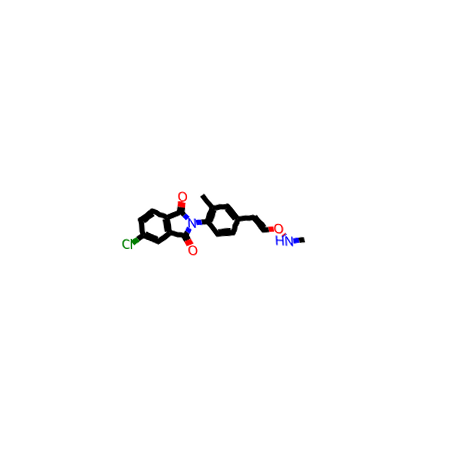 CNOC=Cc1ccc(N2C(=O)c3ccc(Cl)cc3C2=O)c(C)c1